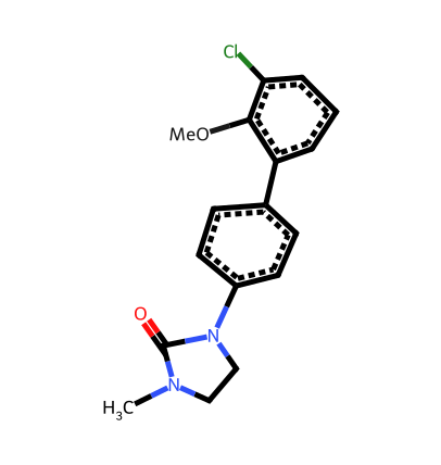 COc1c(Cl)cccc1-c1ccc(N2CCN(C)C2=O)cc1